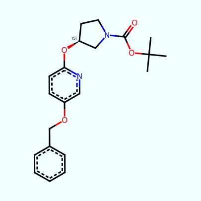 CC(C)(C)OC(=O)N1CC[C@H](Oc2ccc(OCc3ccccc3)cn2)C1